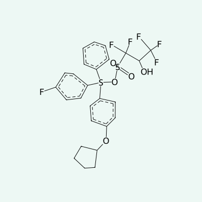 O=S(=O)(OS(c1ccccc1)(c1ccc(F)cc1)c1ccc(OC2CCCC2)cc1)C(F)(F)C(O)C(F)(F)F